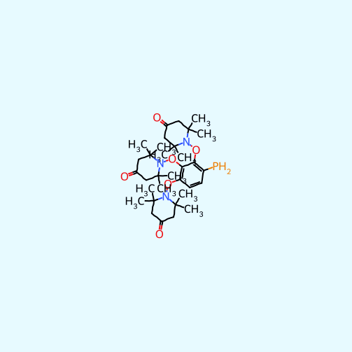 CC1(C)CC(=O)CC(C)(C)N1Oc1ccc(P)c(ON2C(C)(C)CC(=O)CC2(C)C)c1ON1C(C)(C)CC(=O)CC1(C)C